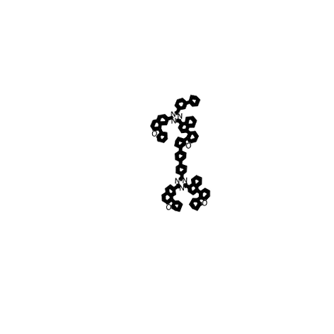 c1ccc(-c2cccc(-c3nc(-c4ccc5ccc6oc7ccccc7c6c5c4)nc(-c4ccc(-c5cccc6oc7c(-c8ccc(-c9ccc(-c%10nc(-c%11ccc%12ccc%13oc%14ccccc%14c%13c%12c%11)nc(-c%11ccc(-c%12cccc%13oc%14ccccc%14c%12%13)c%12ccccc%11%12)n%10)cc9)cc8)cccc7c56)c5ccccc45)n3)c2)cc1